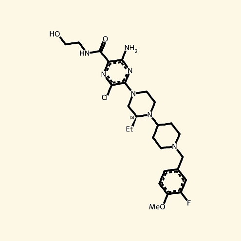 CC[C@H]1CN(c2nc(N)c(C(=O)NCCO)nc2Cl)CCN1C1CCN(Cc2ccc(OC)c(F)c2)CC1